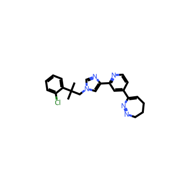 CC(C)(Cn1cnc(-c2cc(C3=CCCCN=N3)ccn2)c1)c1ccccc1Cl